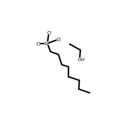 CCCCCCCC[Si](Cl)(Cl)Cl.CCO